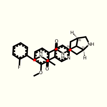 COc1cccc(C(=O)N[C@H]2C[C@H]3CN[C@@H](C2)C3c2ccc(C(=O)NCc3ccccc3F)cn2)c1C